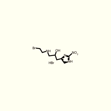 Br.O=[N+]([O-])c1nc(CC(O)CNCCBr)c[nH]1